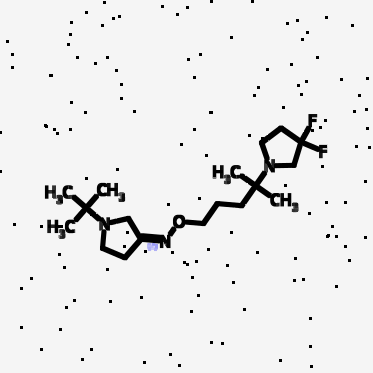 CC(C)(C)N1CC/C(=N/OCCCC(C)(C)N2CCC(F)(F)C2)C1